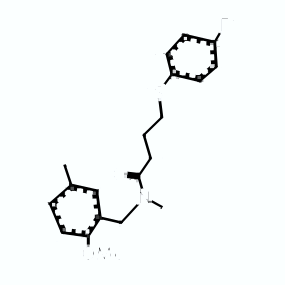 COc1ccc(C)cc1CN(C)C(=O)CCCSc1ccc(F)cc1